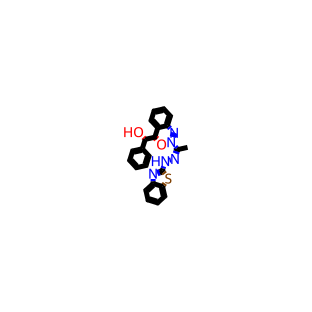 CC(N=Nc1ccccc1C(=O)C(O)c1ccccc1)=NNc1nc2ccccc2s1